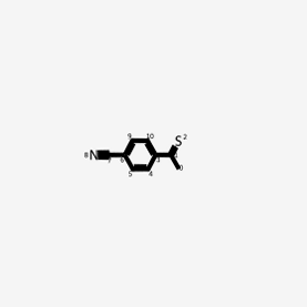 CC(=S)c1ccc(C#N)cc1